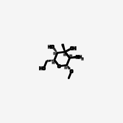 CO[C@@H]1O[C@H](CO)[C@H](O)[C@](C)(O)[C@H]1N